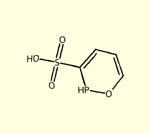 O=S(=O)(O)C1=CC=COP1